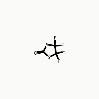 O=C1SC(F)(F)C(F)(F)S1